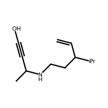 C=CC(CCNC(C)C#CO)C(C)C